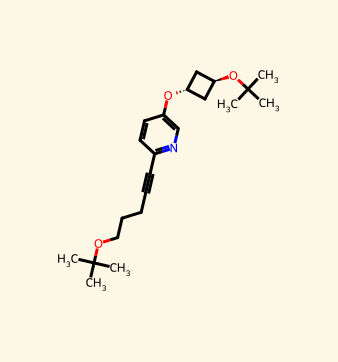 CC(C)(C)OCCCC#Cc1ccc(O[C@H]2C[C@H](OC(C)(C)C)C2)cn1